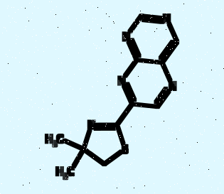 CC1(C)CSC(c2cnc3cncnc3n2)=N1